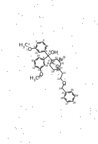 COc1cccc(C(O)(c2cccc(OC)c2)C23CC[N+](CCOCc4ccccc4)(CC2)CC3)c1.[Br-]